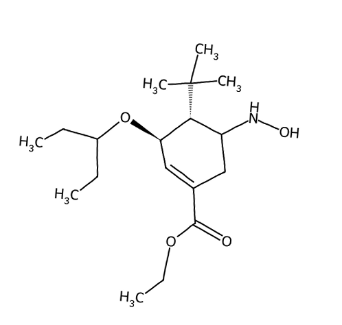 CCOC(=O)C1=C[C@@H](OC(CC)CC)[C@H](C(C)(C)C)C(NO)C1